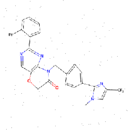 CC(C)c1ccccc1-c1ncc2c(n1)N(Cc1ccc(-c3nc(C(F)(F)F)cn3C)cc1)C(=O)CO2